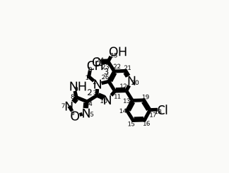 CCn1c(-c2nonc2N)nc2c(-c3cccc(Cl)c3)ncc(C(=O)O)c21